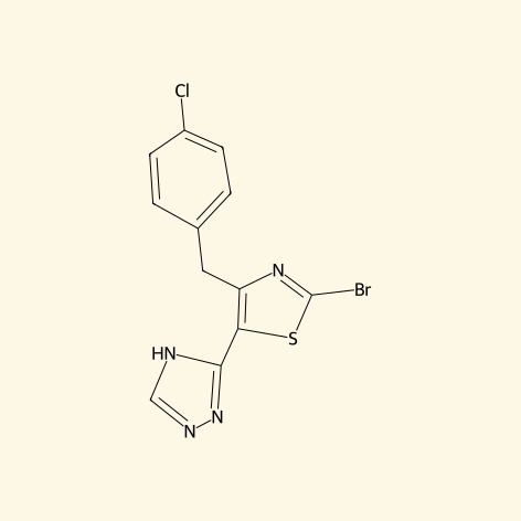 Clc1ccc(Cc2nc(Br)sc2-c2nnc[nH]2)cc1